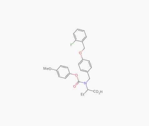 CCC(C(=O)O)N(Cc1ccc(OCc2ccccc2F)cc1)C(=O)Oc1ccc(OC)cc1